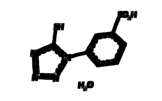 O.O=S(=O)(O)c1cccc(-n2nnnc2S)c1